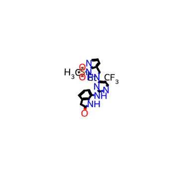 CCN(c1ncccc1CNc1nc(Nc2cccc3c2NC(=O)C3)ncc1C(F)(F)F)S(C)(=O)=O